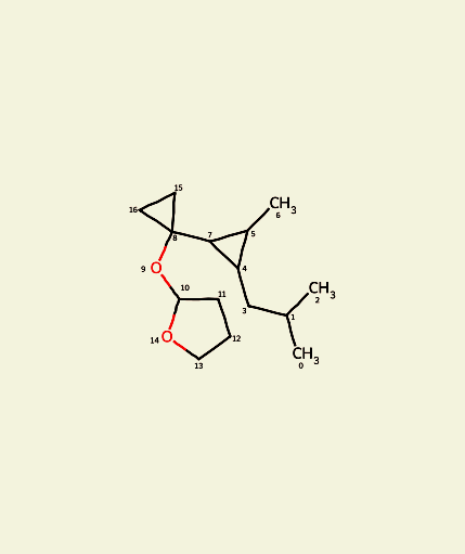 CC(C)CC1C(C)C1C1(OC2CCCO2)CC1